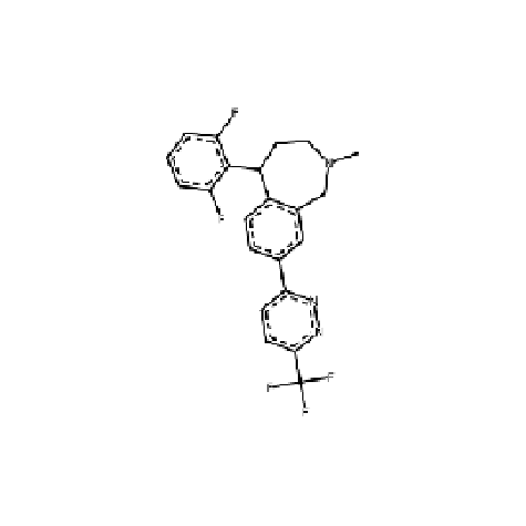 CN1CCC(c2c(F)cccc2F)c2ccc(-c3ccc(C(F)(F)F)nn3)cc2C1